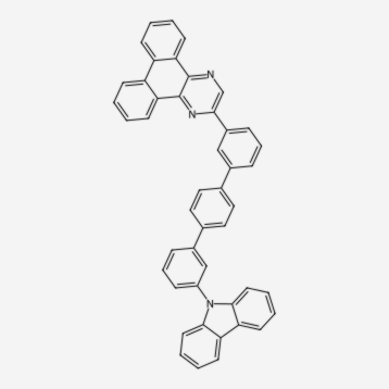 c1cc(-c2ccc(-c3cccc(-n4c5ccccc5c5ccccc54)c3)cc2)cc(-c2cnc3c4ccccc4c4ccccc4c3n2)c1